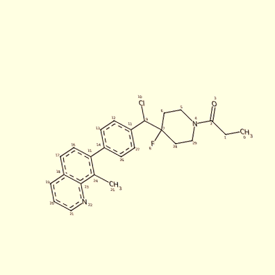 CCC(=O)N1CCC(F)(C(Cl)c2ccc(-c3ccc4cccnc4c3C)cc2)CC1